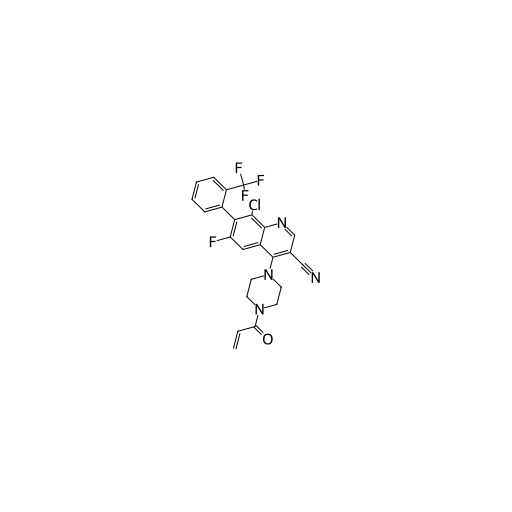 C=CC(=O)N1CCN(c2c(C#N)cnc3c(Cl)c(-c4ccccc4C(F)(F)F)c(F)cc23)CC1